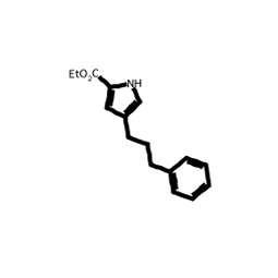 CCOC(=O)c1cc(CCCc2ccccc2)c[nH]1